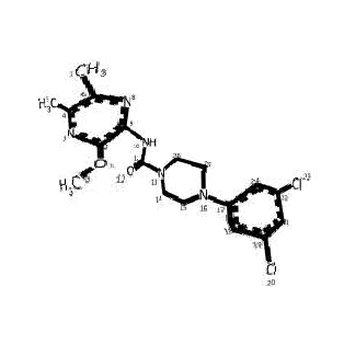 COc1nc(C)c(C)nc1NC(=O)N1CCN(c2cc(Cl)cc(Cl)c2)CC1